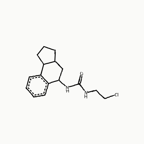 O=C(NCCCl)NC1CC2CCCC2c2ccccc21